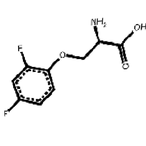 N[C@H](COc1ccc(F)cc1F)C(=O)O